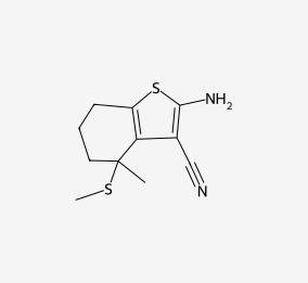 CSC1(C)CCCc2sc(N)c(C#N)c21